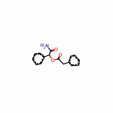 NC(=O)C(OC(=O)Cc1ccccc1)c1ccccc1